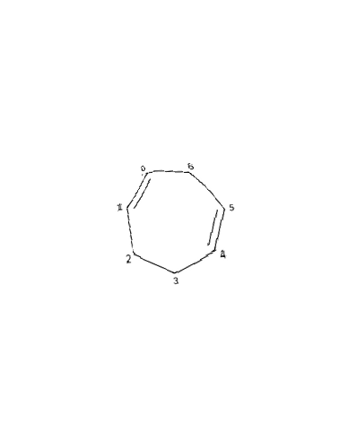 [C]1=CCCC=CC1